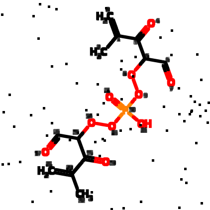 C=C(C)C(=O)C(C=O)OOP(=O)(O)OOC(C=O)C(=O)C(=C)C